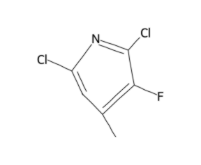 Cc1cc(Cl)nc(Cl)c1F